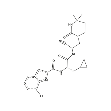 CC1(C)CCC(CC(C#N)NC(=O)[C@H](CC2CC2)NC(=O)c2cc3cccc(Cl)c3[nH]2)C(=O)N1